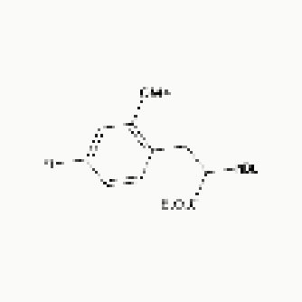 CCCCC(Cc1ccc(CC)cc1OC)C(=O)OCC